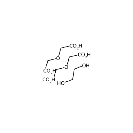 O=C(O)COCC(=O)O.O=C(O)COCC(=O)O.OCCO